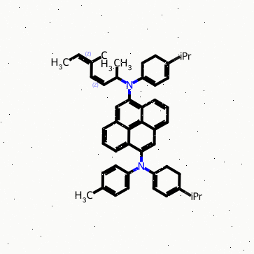 C/C=C(C)\C=C/C(C)N(C1=CC=C(C(C)C)CC1)c1cc2cccc3c(N(C4=CC=C(C(C)C)CC4)c4ccc(C)cc4)cc4cccc1c4c23